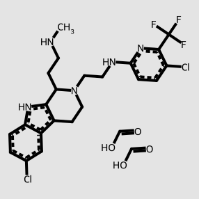 CNCCC1c2[nH]c3ccc(Cl)cc3c2CCN1CCNc1ccc(Cl)c(C(F)(F)F)n1.O=CO.O=CO